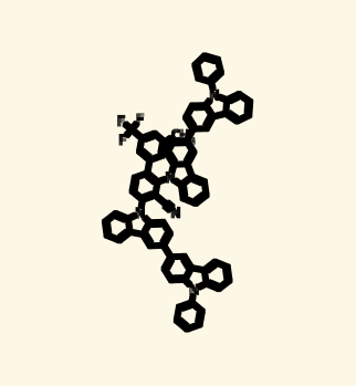 Cc1cc(-c2ccc(-n3c4ccccc4c4cc(-c5ccc6c(c5)c5ccccc5n6-c5ccccc5)ccc43)c(C#N)c2-n2c3ccccc3c3cc(-c4ccc5c(c4)c4ccccc4n5-c4ccccc4)ccc32)cc(C(F)(F)F)c1